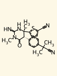 CN1C(=N)N[C@](C)(c2ccc(C#N)s2)[C@H](c2ccc(C(C)(C)C#N)cc2)C1=O